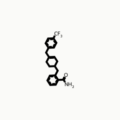 NC(=O)c1ccccc1CC1CC=C(Cc2ccc(C(F)(F)F)cc2)CC1